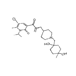 Cc1c(Cl)cc(C(=O)NCC2CCN(CC3(O)CCC(C)(O)CC3)CC2)c(=O)n1C(C)C